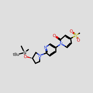 CC(C)(C)[Si](C)(C)O[C@@H]1CCN(c2ccc(-n3ccc(S(C)(=O)=O)cc3=O)cn2)C1